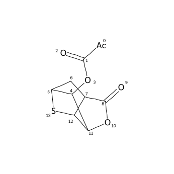 CC(=O)C(=O)OC1C2CC3C(=O)OC1C3S2